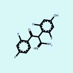 N=C(N)C(C(=O)c1ccc(F)cc1F)c1c(F)cc(O)cc1F